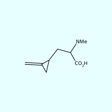 C=C1CC1CC(NC)C(=O)O